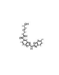 Cc1ccc2nc(Nc3nc4cc(C(=O)NCCOCCO)ccc4o3)oc2c1